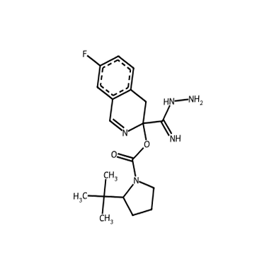 CC(C)(C)C1CCCN1C(=O)OC1(C(=N)NN)Cc2ccc(F)cc2C=N1